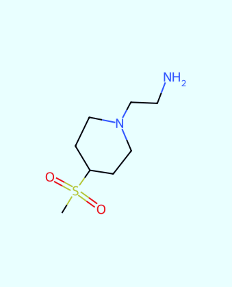 CS(=O)(=O)C1CCN(CCN)CC1